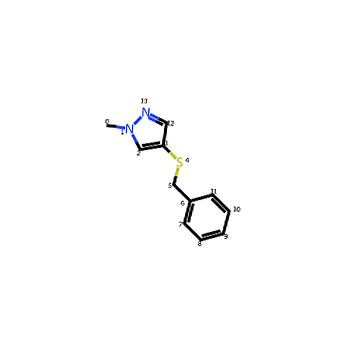 Cn1cc(SCc2ccccc2)cn1